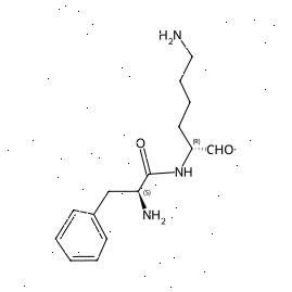 NCCCC[C@H]([C]=O)NC(=O)[C@@H](N)Cc1ccccc1